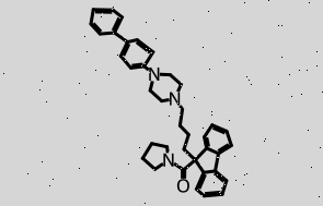 O=C(N1CCCC1)C1(CCCCN2CCN(c3ccc(-c4ccccc4)cc3)CC2)c2ccccc2-c2ccccc21